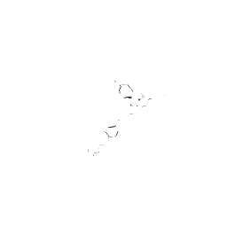 NC(=O)COc1c(F)cc(CSCCN(CC(=O)O)S(=O)(=O)c2ccc(Cl)cc2)cc1F